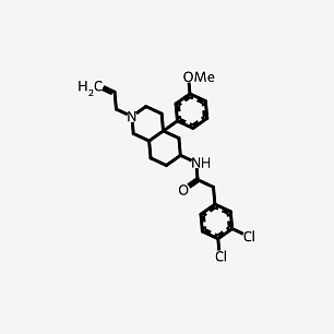 C=CCN1CCC2(c3cccc(OC)c3)CC(NC(=O)Cc3ccc(Cl)c(Cl)c3)CCC2C1